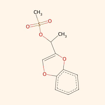 CC(OS(C)(=O)=O)C1=COc2ccccc2O1